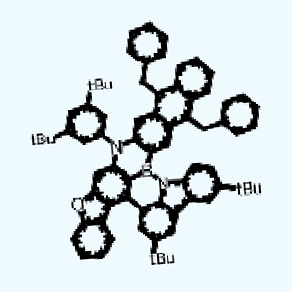 CC(C)(C)c1cc(N2c3cc4c(Cc5ccccc5)c5ccccc5c(Cc5ccccc5)c4cc3B3c4c2cc2oc5ccccc5c2c4-c2cc(C(C)(C)C)cc4c5cc(C(C)(C)C)ccc5n3c24)cc(C(C)(C)C)c1